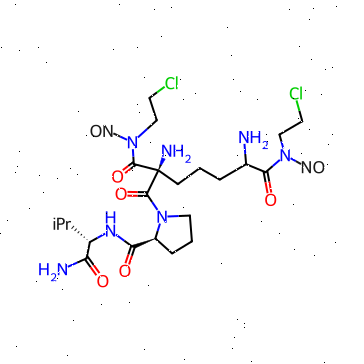 CC(C)[C@H](NC(=O)[C@@H]1CCCN1C(=O)[C@@](N)(CCCC(N)C(=O)N(CCCl)N=O)C(=O)N(CCCl)N=O)C(N)=O